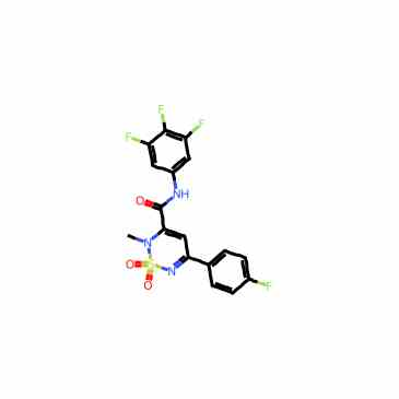 CN1C(C(=O)Nc2cc(F)c(F)c(F)c2)=CC(c2ccc(F)cc2)=NS1(=O)=O